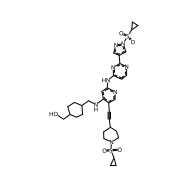 O=S(=O)(C1CC1)N1CCC(C#Cc2cnc(Nc3ccnc(-c4cnn(S(=O)(=O)C5CC5)c4)n3)cc2NCC2CCC(CO)CC2)CC1